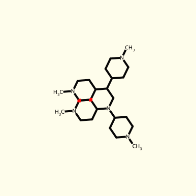 CN1CCC(C(CN(C2CCN(C)CC2)C2CCN(C)CC2)C2CCN(C)CC2)CC1